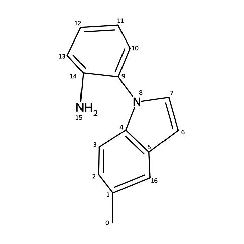 Cc1ccc2c(ccn2-c2ccccc2N)c1